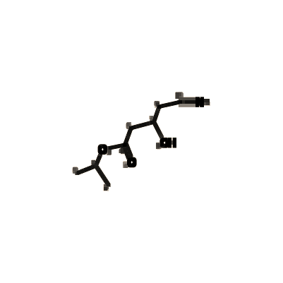 CC(C)OC(=O)CC(O)CC#N